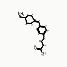 NCC1CCC(=Cc2ccc(CCCC(=O)O)cc2)CC1